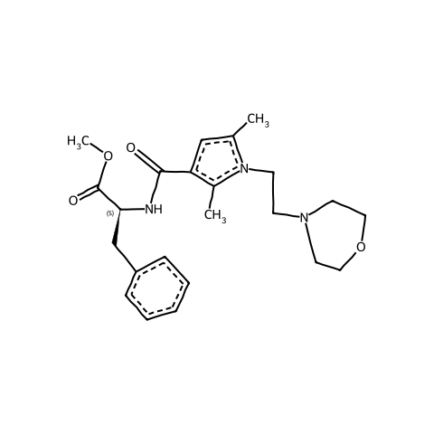 COC(=O)[C@H](Cc1ccccc1)NC(=O)c1cc(C)n(CCN2CCOCC2)c1C